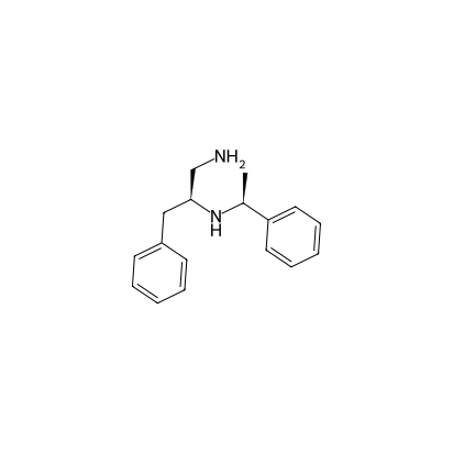 C[C@H](N[C@H](CN)Cc1ccccc1)c1ccccc1